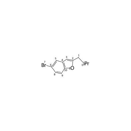 CC(C)Cc1cc2cc(Br)ccc2o1